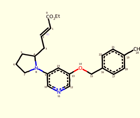 CCOC(=O)/C=C/CC1CCCN1c1cncc(OCc2ccc(C)cc2)c1